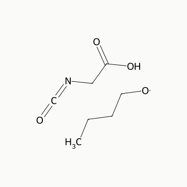 CCCC[O].O=C=NCC(=O)O